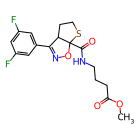 COC(=O)CCCNC(=O)C12ON=C(c3cc(F)cc(F)c3)C1CCS2